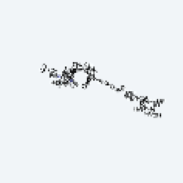 CC[C@H](C)[C@@H]1NC(=O)[C@H](CC(C)C)NC(=O)C(C)(C)NC(=O)C(/C=N/C(=O)[C@H](CC(C)C)NC(=O)C(/C=N/C(=O)[C@@H]2CCCN2C(=O)CCc2cccc3ccccc23)CCC(=O)O)CSCc2cccc(c2)CSC[C@@H](C(=O)NCCCOCCOCCOCCCNC(=O)CCC(=O)N[C@@H](CCCCNC(=O)CN2CCN(CC(=O)O)CCN(CC(O)O)CCN(CC(=O)O)CC2)C(N)=O)NC1O